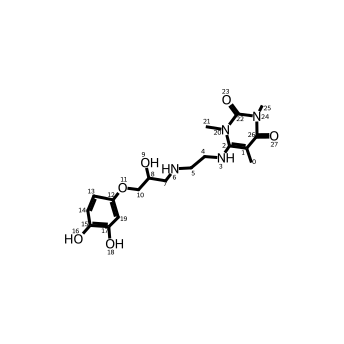 Cc1c(NCCNCC(O)COc2ccc(O)c(O)c2)n(C)c(=O)n(C)c1=O